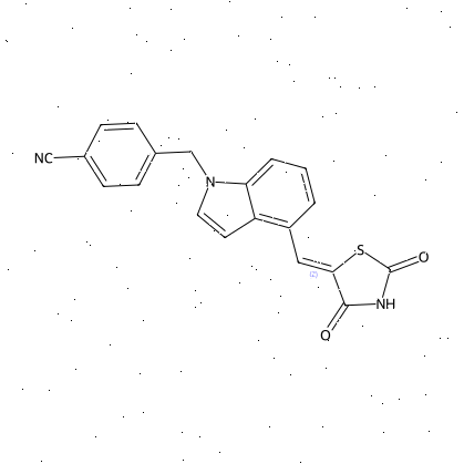 N#Cc1ccc(Cn2ccc3c(/C=C4\SC(=O)NC4=O)cccc32)cc1